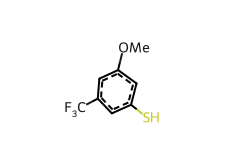 COc1cc(S)cc(C(F)(F)F)c1